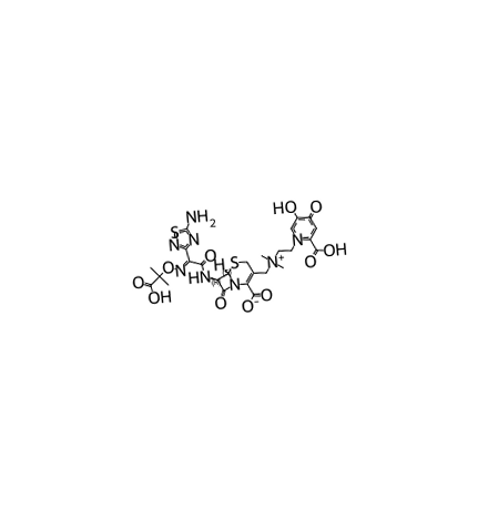 CC(C)(ON=C(C(=O)N[C@@H]1C(=O)N2C(C(=O)[O-])=C(C[N+](C)(C)CCn3cc(O)c(=O)cc3C(=O)O)CS[C@@H]12)c1nsc(N)n1)C(=O)O